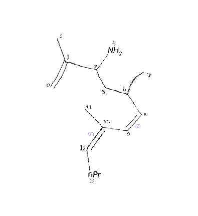 C=C(C)C(N)CC(C)/C=C\C(C)=C/CCC